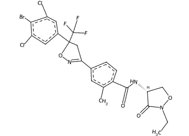 CCN1OC[C@@H](NC(=O)c2ccc(C3=NOC(c4cc(Cl)c(Br)c(Cl)c4)(C(F)(F)F)C3)cc2C)C1=O